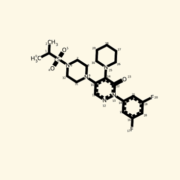 CC(C)S(=O)(=O)N1CCN(c2cnn(-c3cc(F)cc(F)c3)c(=O)c2N2CCCCC2)CC1